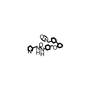 O=C(NCc1cccnc1)Nc1ccc(COc2ccccc2-c2cccc(CN3CCOCC3)c2)cc1